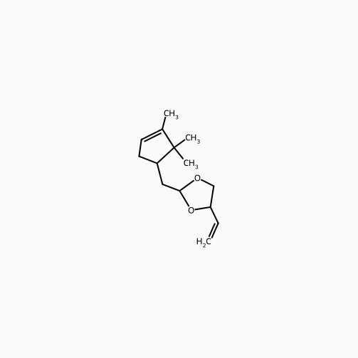 C=CC1COC(CC2CC=C(C)C2(C)C)O1